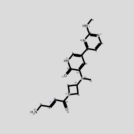 CNc1nccc(-c2c[nH]c(=O)c(N(C)C3CN(C(=O)/C=C/CN)C3)c2)n1